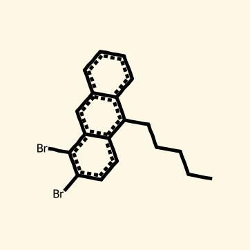 CCCCCc1c2ccccc2cc2c(Br)c(Br)ccc12